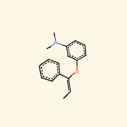 CC=C(Oc1cccc(N(C)C)c1)c1ccccc1